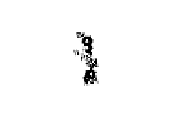 N[C@@H](CNc1nnc(-c2ccc3[nH]ncc3c2)s1)Cc1ccc(Br)cc1